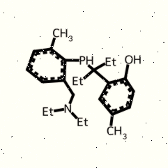 CCN(CC)Cc1cccc(C)c1PC(CC)(CC)c1cc(C)ccc1O